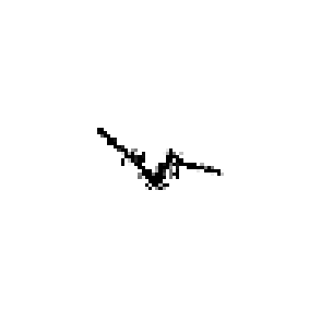 CCCCCCCCCCCC(=O)NC(CCC(=O)OCC(CC)(COC(=O)CCC(NC(=O)CCCCCCCCCCC)C(C)=O)C(=O)O)C(C)=O